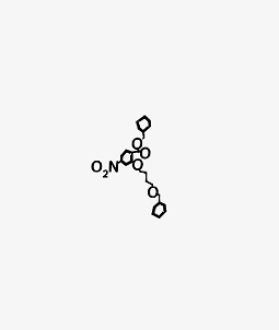 O=C(OCc1ccccc1)c1ccc([N+](=O)[O-])cc1OCCCCOCc1ccccc1